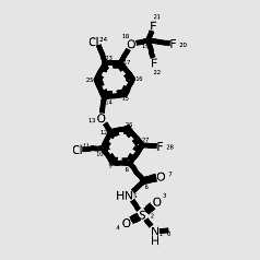 CNS(=O)(=O)NC(=O)c1cc(Cl)c(Oc2ccc(OC(F)(F)F)c(Cl)c2)cc1F